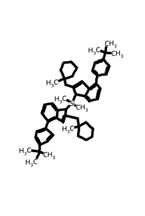 CC1(CC2=Cc3c(-c4ccc(C(C)(C)C)cc4)cccc3C2[Si](C)(C)C2C(CC3(C)CCCCC3)=Cc3c(-c4ccc(C(C)(C)C)cc4)cccc32)CCCCC1